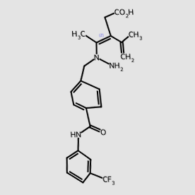 C=C(C)/C(CC(=O)O)=C(/C)N(N)Cc1ccc(C(=O)Nc2cccc(C(F)(F)F)c2)cc1